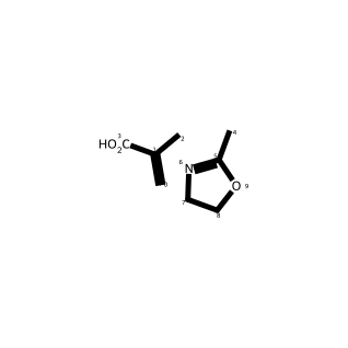 C=C(C)C(=O)O.CC1=NCCO1